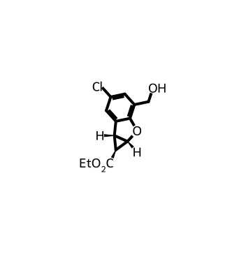 CCOC(=O)[C@@H]1[C@H]2Oc3c(CO)cc(Cl)cc3[C@H]21